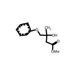 COC(=O)CC(C)(O)COc1ccccc1